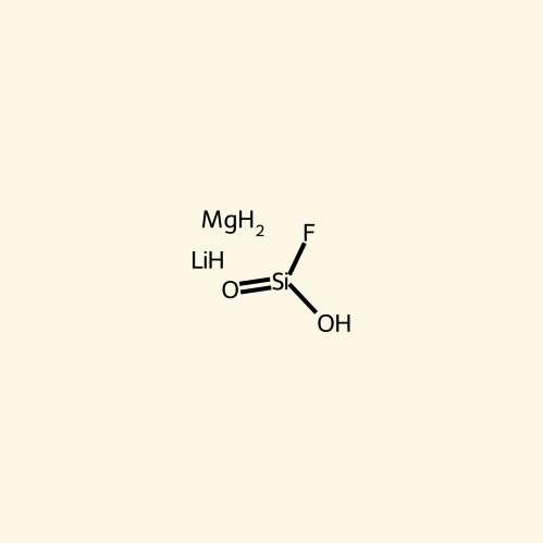 O=[Si](O)F.[LiH].[MgH2]